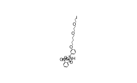 C[C@@H](NS(=O)(=O)c1ccccc1[N+](=O)[O-])c1cccc(OCCCCCOCCCOCCI)c1